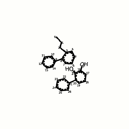 CCCc1ccccc1-c1ccccc1.Oc1cccc(-c2ccccc2)c1O